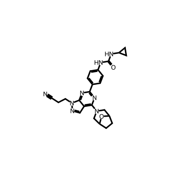 N#CCCn1ncc2c(N3CC4CCC(C3)O4)nc(-c3ccc(NC(=O)NC4CC4)cc3)nc21